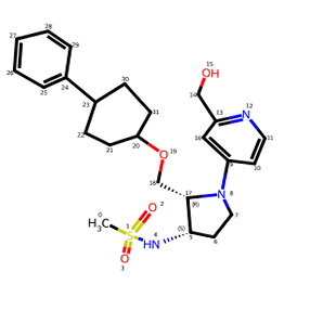 CS(=O)(=O)N[C@H]1CCN(c2ccnc(CO)c2)[C@H]1COC1CCC(c2ccccc2)CC1